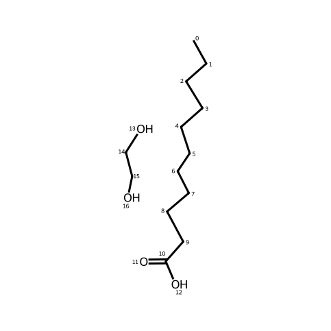 CCCCCCCCCCC(=O)O.OCCO